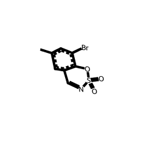 Cc1cc(Br)c2c(c1)C=NS(=O)(=O)O2